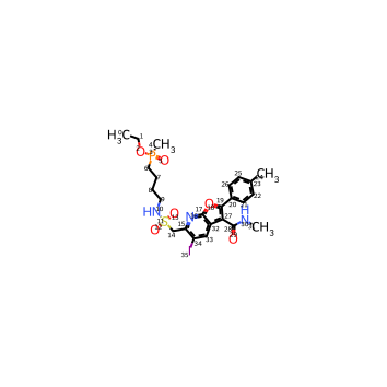 CCOP(C)(=O)CCCCNS(=O)(=O)Cc1nc2oc(-c3ccc(C)cc3)c(C(=O)NC)c2cc1I